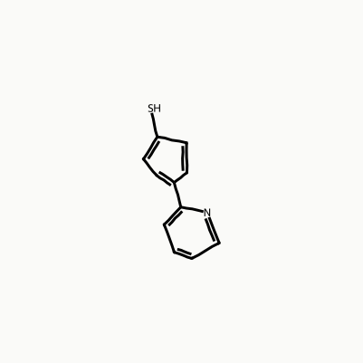 Sc1ccc(-c2ccccn2)cc1